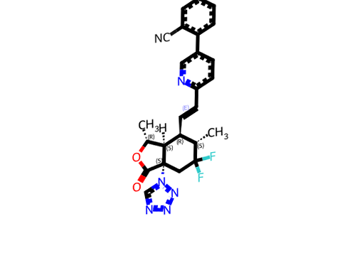 C[C@H]1OC(=O)[C@]2(n3cnnn3)CC(F)(F)[C@@H](C)[C@H](/C=C/c3ccc(-c4ccccc4C#N)cn3)[C@H]12